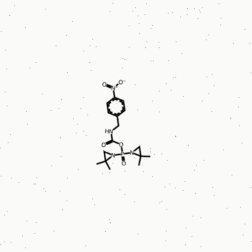 CC1(C)CN1P(=O)(OC(=O)NCc1ccc([N+](=O)[O-])cc1)N1CC1(C)C